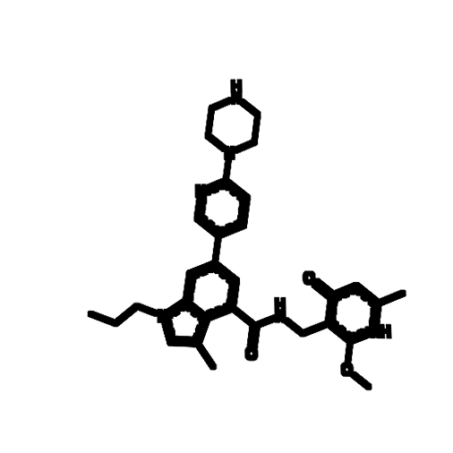 CCCn1cc(C)c2c(C(=O)NCc3c(OC)[nH]c(C)cc3=O)cc(-c3ccc(N4CCNCC4)nc3)cc21